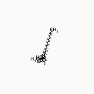 CCCCCCCCCCCCCCCCOOP(=O)(O)OC(C)(C)C